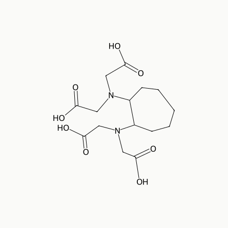 O=C(O)CN(CC(=O)O)C1CCCCCC1N(CC(=O)O)CC(=O)O